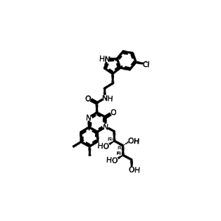 Cc1cc2nc(C(=O)NCCc3c[nH]c4ccc(Cl)cc34)c(=O)n(C[C@H](O)[C@H](O)[C@H](O)CO)c2cc1C